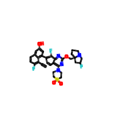 C#Cc1c(F)ccc2cc(O)cc(-c3ccc4c(N5CCS(=O)(=O)CC5)nc(OCC56CCCN5CC(F)C6)nc4c3F)c12